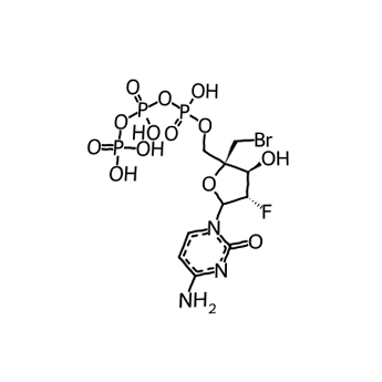 Nc1ccn(C2O[C@](CBr)(COP(=O)(O)OP(=O)(O)OP(=O)(O)O)[C@@H](O)[C@@H]2F)c(=O)n1